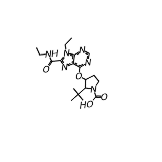 CCNC(=O)c1nc2c(OC3CCN(C(=O)O)C3C(C)(C)C)ncnc2n1CC